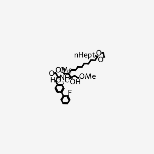 CCCCCCCC1(CCCCCCC=C[C@H](C(=O)N[C@@H](Cc2ccc(-c3ccccc3F)cc2)C(=O)OC)[C@@](O)(CCOC)C(=O)O)OCCO1